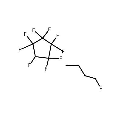 CCCCF.FC1C(F)(F)C(F)(F)C(F)(F)C1(F)F